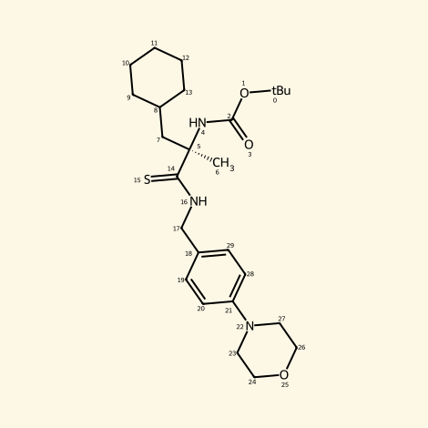 CC(C)(C)OC(=O)N[C@](C)(CC1CCCCC1)C(=S)NCc1ccc(N2CCOCC2)cc1